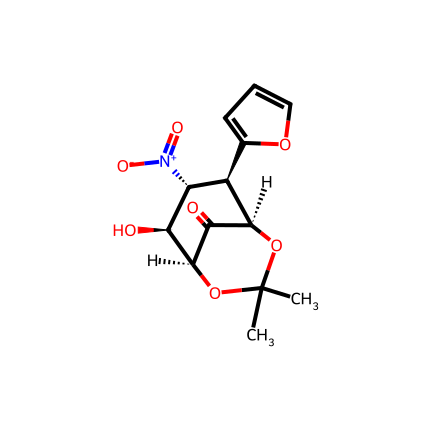 CC1(C)O[C@@H]2C(=O)[C@H](O1)[C@H](c1ccco1)[C@@H]([N+](=O)[O-])[C@@H]2O